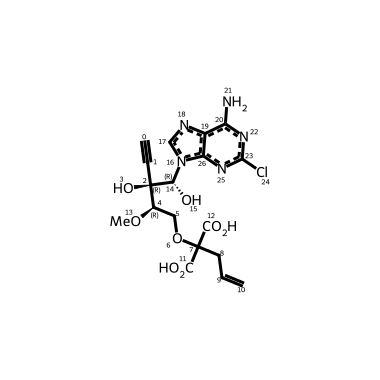 C#C[C@@](O)([C@@H](COC(CC=C)(C(=O)O)C(=O)O)OC)[C@@H](O)n1cnc2c(N)nc(Cl)nc21